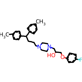 Cc1ccc(C(CCCN2CCN(CC(O)COc3ccc(F)cc3)CC2)c2ccc(C)cc2)cc1